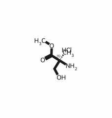 COC(=O)[C@@](C)(N)CO.Cl